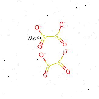 O=S([O-])S(=O)[O-].O=S([O-])S(=O)[O-].[Mo+4]